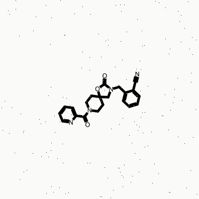 N#Cc1ccccc1CN1CC2(CCN(C(=O)c3ccccn3)CC2)OC1=O